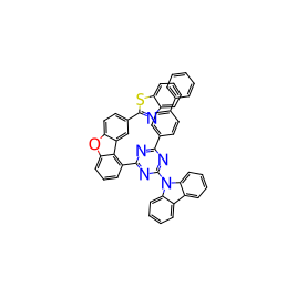 c1ccc(-c2ccc(-c3nc(-c4cccc5oc6ccc(-c7nc8ccccc8s7)cc6c45)nc(-n4c5ccccc5c5ccccc54)n3)cc2)cc1